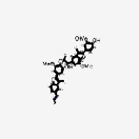 C/C=C/c1ccc2oc(-c3ccc(OC(C)C(O)c4cc(OC)c5oc(-c6ccc(O)c(OC)c6)c(C)c5c4)c(OC)c3)c(C)c2c1